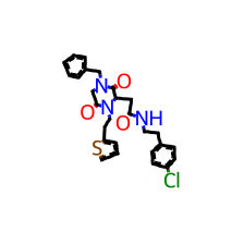 O=C(CC1C(=O)N(Cc2ccccc2)CC(=O)N1CCc1cccs1)NCCc1ccc(Cl)cc1